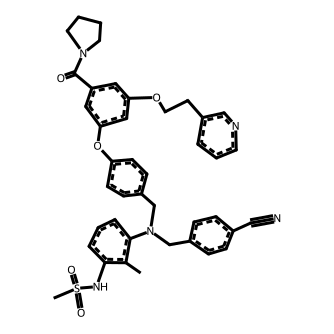 Cc1c(NS(C)(=O)=O)cccc1N(Cc1ccc(C#N)cc1)Cc1ccc(Oc2cc(OCCc3cccnc3)cc(C(=O)N3CCCC3)c2)cc1